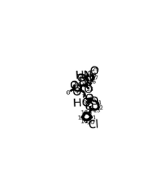 CC(=O)OC1C(CO[P]2(O)OCCCC(c3cccc(Cl)c3)O2)OC(n2ccc(=O)[nH]c2=O)C1(C)F